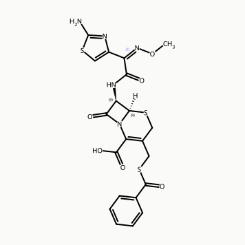 CO/N=C(\C(=O)N[C@@H]1C(=O)N2C(C(=O)O)=C(CSC(=O)c3ccccc3)CS[C@H]12)c1csc(N)n1